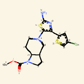 CC(C)(C)OC(=O)N1CCC2CN(c3sc(N)nc3-c3cc(Cl)cs3)CCC21